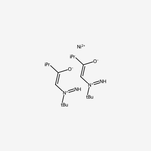 CC(C)C([O-])=C[N+](=N)C(C)(C)C.CC(C)C([O-])=C[N+](=N)C(C)(C)C.[Ni+2]